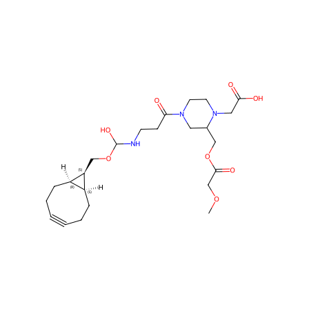 COCC(=O)OCC1CN(C(=O)CCNC(O)OC[C@@H]2[C@@H]3CCC#CCC[C@@H]32)CCN1CC(=O)O